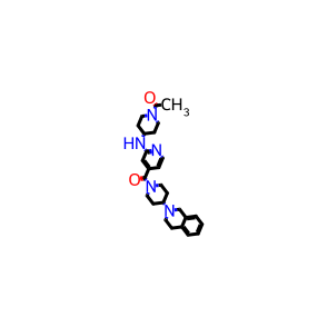 CC(=O)N1CCC(Nc2cc(C(=O)N3CCC(N4CCc5ccccc5C4)CC3)ccn2)CC1